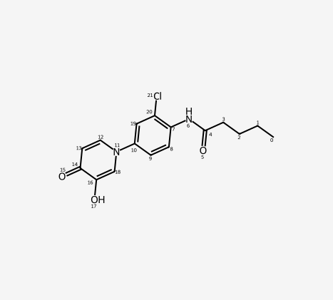 CCCCC(=O)Nc1ccc(-n2ccc(=O)c(O)c2)cc1Cl